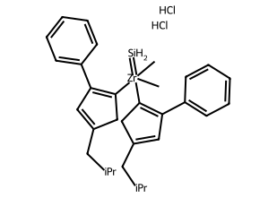 CC(C)CC1=CC(c2ccccc2)=[C]([Zr]([CH3])([CH3])(=[SiH2])[C]2=C(c3ccccc3)C=C(CC(C)C)C2)C1.Cl.Cl